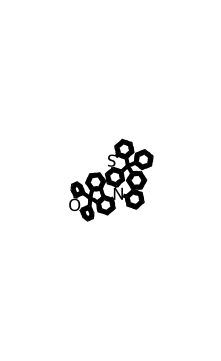 c1ccc(N(c2ccc3c(c2)C(c2ccccc2)(c2ccccc2)c2ccccc2S3)c2cccc3c2-c2ccccc2C32c3ccccc3Oc3ccccc32)cc1